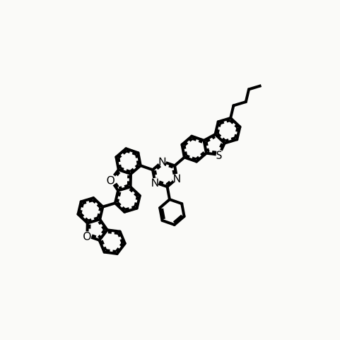 CCCCc1ccc2sc3cc(-c4nc(-c5cccc6oc7c(-c8cccc9oc%10ccccc%10c89)cccc7c56)nc(C5C=CC=CC5)n4)ccc3c2c1